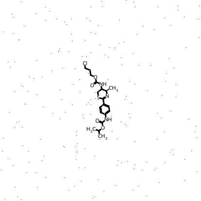 CC(C)OC(=O)Nc1ccc(C2=N[C@H](C)C(NC(=O)OCCCCl)CS2)cc1